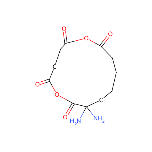 NC1(N)CCCCC(=O)OC(=O)CCC(=O)OC1=O